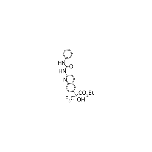 CCOC(=O)C(O)(c1ccc2nc(NC(=O)Nc3ccccc3)ccc2c1)C(F)(F)F